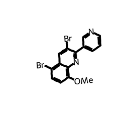 COc1ccc(Br)c2cc(Br)c(-c3cccnc3)nc12